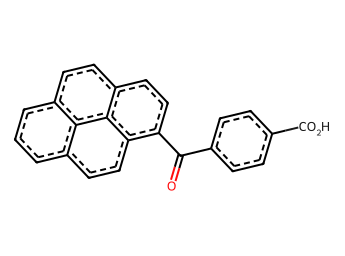 O=C(O)c1ccc(C(=O)c2ccc3ccc4cccc5ccc2c3c45)cc1